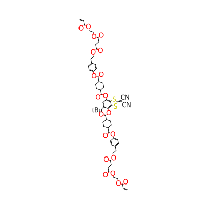 C=CC(=O)OCCOC(=O)CCC(=O)OCCc1ccc(OC(=O)C2CCC(C(=O)Oc3cc(C(C)(C)C)c(OC(=O)C4CCC(C(=O)Oc5ccc(CCOC(=O)CCC(=O)OCCOC(=O)C=C)cc5)CC4)c4c3SC(=C(C#N)C#N)S4)CC2)cc1